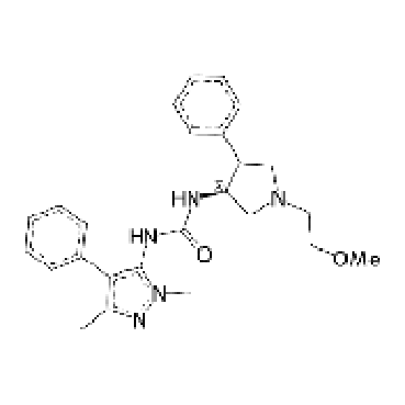 COCCN1CC(c2ccccc2)[C@H](NC(=O)Nc2c(-c3ccccc3)c(C)nn2C)C1